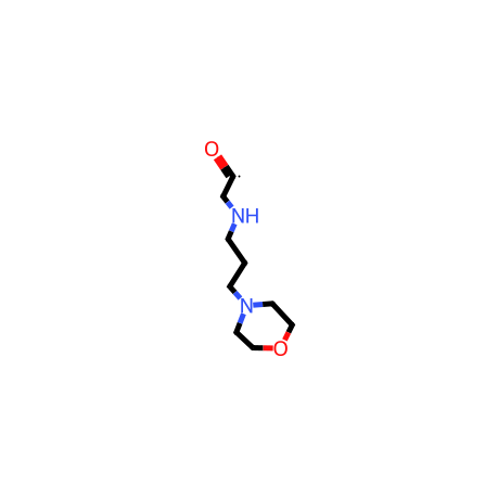 O=[C]CNCCCN1CCOCC1